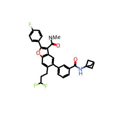 CNC(=O)c1c(-c2ccc(F)cc2)oc2cc(CCC(F)F)c(-c3cccc(C(=O)NC45CC(C4)C5)c3)cc12